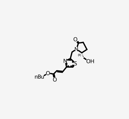 CCCCOC(=O)C=Cc1csc(CN2C(=O)CC[C@@H]2CO)n1